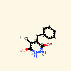 Cc1c(Cc2ccccc2)c(=O)[nH][nH]c1=O